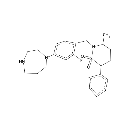 CC1CCC(c2ccccc2)S(=O)(=O)N1Cc1ccc(N2CCCNCC2)cc1F